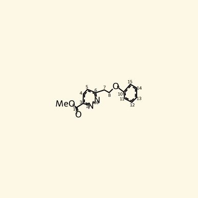 COC(=O)c1ccc(CCOc2ccccc2)nn1